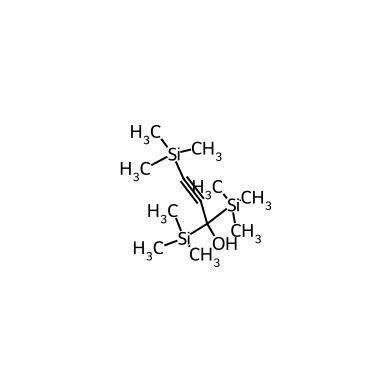 C[Si](C)(C)C#CC(O)([Si](C)(C)C)[Si](C)(C)C